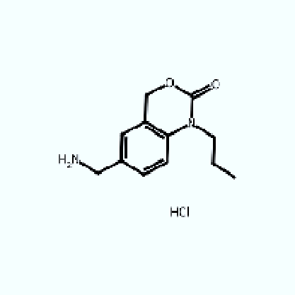 CCCN1C(=O)OCc2cc(CN)ccc21.Cl